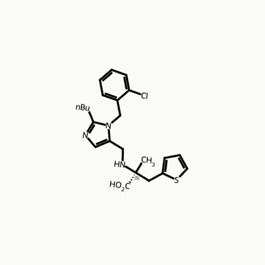 CCCCc1ncc(CN[C@@](C)(Cc2cccs2)C(=O)O)n1Cc1ccccc1Cl